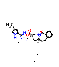 Cc1c[nH]c(C(N)=NOC(=O)[C@H]2CC[C@@H]3CCc4ccccc4C(=O)N3C2)c1